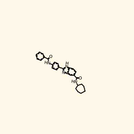 O=C(Nc1ccc(-c2nc3cc(C(=O)NC4CCCCCC4)ccc3[nH]2)cc1)c1ccccc1